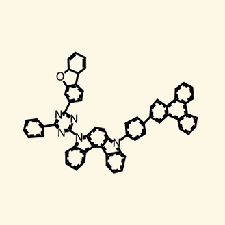 C1=CC2Oc3cc(-c4nc(-c5ccccc5)nc(-n5c6ccccc6c6c7c8ccccc8n(-c8ccc(-c9ccc%10c%11ccccc%11c%11ccccc%11c%10c9)cc8)c7ccc65)n4)ccc3C2C=C1